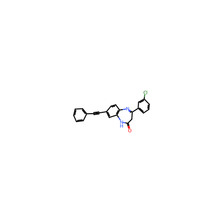 O=C1CC(c2cccc(Cl)c2)=Nc2ccc(C#Cc3ccccc3)cc2N1